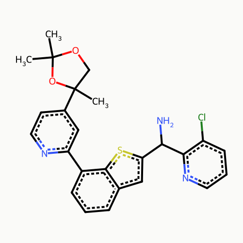 CC1(C)OCC(C)(c2ccnc(-c3cccc4cc(C(N)c5ncccc5Cl)sc34)c2)O1